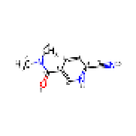 CN(C)C(=O)c1ccc(C#N)nc1